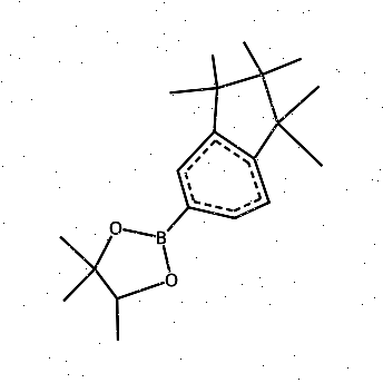 CC1OB(c2ccc3c(c2)C(C)(C)C(C)(C)C3(C)C)OC1(C)C